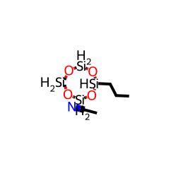 CC#N.CCC[SiH]1O[SiH2]O[SiH2]O[SiH2]O1